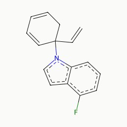 C=CC1(n2ccc3c(F)cccc32)C=CC=CC1